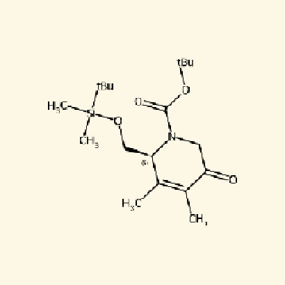 CC1=C(C)[C@@H](CO[Si](C)(C)C(C)(C)C)N(C(=O)OC(C)(C)C)CC1=O